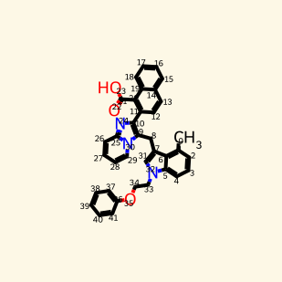 Cc1cccc2c1c(Cc1c(-c3ccc4ccccc4c3C(=O)O)nc3ccccn13)cn2CCOc1ccccc1